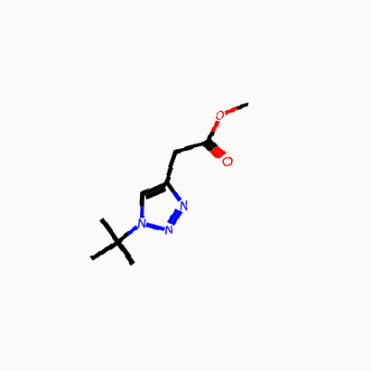 COC(=O)Cc1cn(C(C)(C)C)nn1